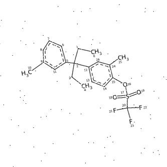 CCC(CC)(c1cccc(C)c1)c1ccc(OS(=O)(=O)C(F)(F)F)c(C)c1